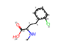 CNC(CCc1ccccc1Cl)C(=O)O